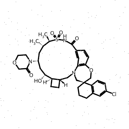 C[C@@H]1[C@@H](C)C[C@@H](N2CCOCC2=O)C[C@@H](O)[C@@H]2CC[C@H]2CN2C[C@@]3(CCCc4cc(Cl)ccc43)COc3ccc(cc32)C(=O)NS1(=O)=O